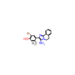 Cc1cc(O)c(Br)cc1-c1nc2n(c1N)CCc1ccccc1-2